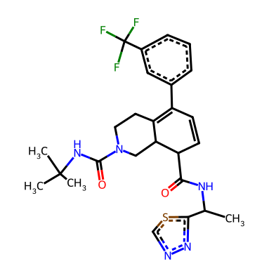 CC(NC(=O)C1C=CC(c2cccc(C(F)(F)F)c2)=C2CCN(C(=O)NC(C)(C)C)CC21)c1nncs1